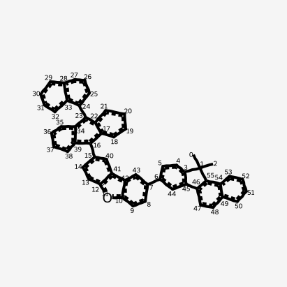 CC1(C)c2ccc(-c3ccc4oc5ccc(-c6c7ccccc7c(-c7cccc8ccccc78)c7ccccc67)cc5c4c3)cc2-c2ccc3ccccc3c21